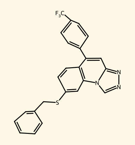 FC(F)(F)c1ccc(-c2cc3nncn3c3cc(SCc4ccccc4)ccc23)cc1